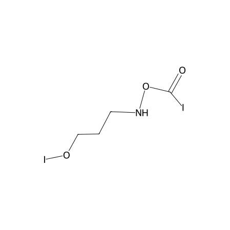 O=C(I)ONCCCOI